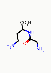 NCCC(NC(=O)CN)C(=O)O